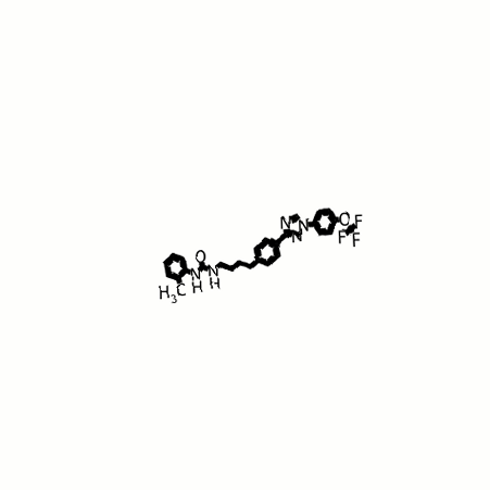 Cc1ccccc1NC(=O)NCCCCc1ccc(-c2ncn(-c3ccc(OC(F)(F)F)cc3)n2)cc1